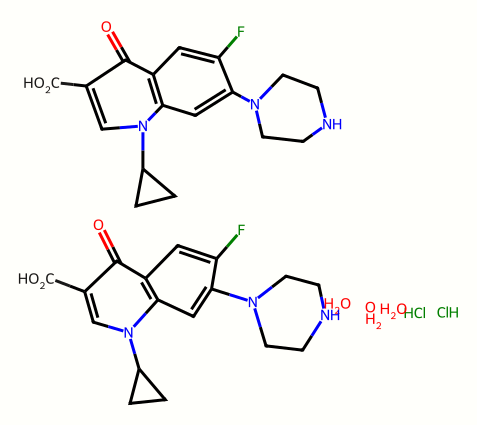 Cl.Cl.O.O.O.O=C(O)c1cn(C2CC2)c2cc(N3CCNCC3)c(F)cc2c1=O.O=C(O)c1cn(C2CC2)c2cc(N3CCNCC3)c(F)cc2c1=O